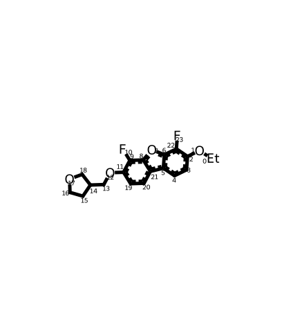 CCOc1ccc2c(oc3c(F)c(OCC4CCOC4)ccc32)c1F